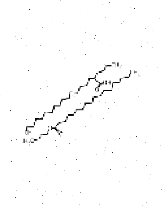 CCCCCCCCCCCCCCCCC(CCCC)C(=O)O.CCCCCCCCCCCCCCCCCC(=O)OCCCC